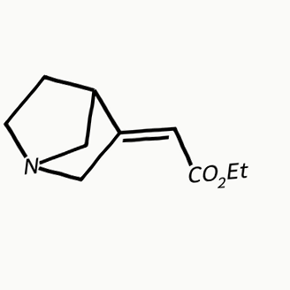 CCOC(=O)C=C1CN2CCC1C2